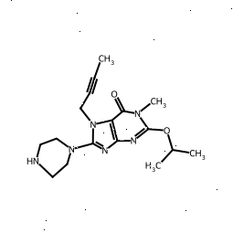 CC#CCn1c(N2CCNCC2)nc2nc(OC(C)C)n(C)c(=O)c21